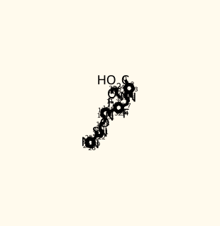 O=C(O)c1ccc2nc(Cc3cc(F)c(-c4cccc(OCc5ncc(-c6cnccn6)s5)n4)cc3F)n(CC3CCO3)c2c1